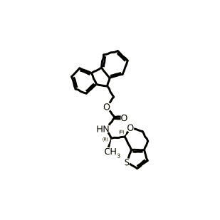 C[C@@H](NC(=O)OCC1c2ccccc2-c2ccccc21)[C@H]1OCCc2ccsc21